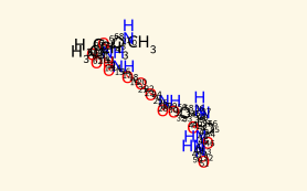 CNc1ccc(C(=O)N[C@](CCC(=O)NCCOCCOCCOCCNC(=O)COc2ccc(-c3[nH]nc4c3C(=O)c3c(NC(=O)NN5CCOCC5)cccc3-4)cc2)(C(=O)O)C(C)(C)C)cc1